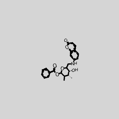 CC1C(OC(=O)c2ccccc2)OC(CNc2ccc3ccc(=O)oc3c2)[C@H](O)[C@@H]1C